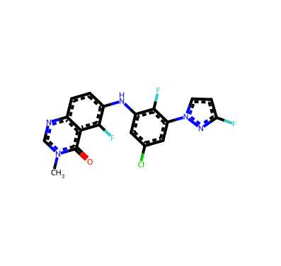 Cn1cnc2ccc(Nc3cc(Cl)cc(-n4ccc(F)n4)c3F)c(F)c2c1=O